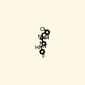 Fc1ccc(Nc2nccc(-c3cnc(Cc4c(Cl)cccc4Cl)[nH]3)n2)cc1